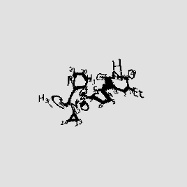 CCc1cc(-c2ccc(S(=O)(=O)N(C3CC3)C(C)c3ccccn3)s2)c(C)[nH]c1=O